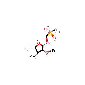 CO[C@@H]1[C@H](OC(C)C)[C@@H](OCP(C)(=O)O)O[C@H]1C